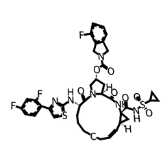 O=C1N[C@]2(C(=O)NS(=O)(=O)C3CC3)C[C@H]2/C=C\CCCCC[C@H](Nc2nc(-c3ccc(F)cc3F)cs2)C(=O)N2C[C@H](OC(=O)N3Cc4cccc(F)c4C3)C[C@@H]12